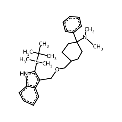 CN(C)C1(c2ccccc2)CCC(COCc2c([Si](C)(C)C(C)(C)C)[nH]c3ccccc23)CC1